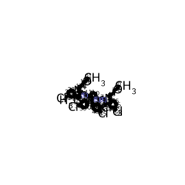 COCCCN1/C(=C/C=C2\CCC(/C=C/C3=[N+](CCCOC)c4ccc(Cl)cc4C3(C)C)=C2N(c2ccc(Cl)cc2)c2ccc(Cl)cc2)C(C)(C)c2cc(Cl)ccc21